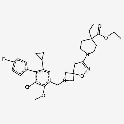 CCOC(=O)C1(CC)CCN(C2=NOC3(C2)CN(Cc2cc(C4CC4)c(-c4ccc(F)cc4)c(Cl)c2OC)C3)CC1